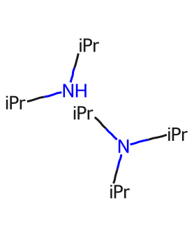 CC(C)N(C(C)C)C(C)C.CC(C)NC(C)C